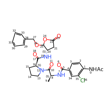 CC(=O)Nc1ccc(C(=O)N[C@@H](C)C(=O)N2CCC[C@H]2C(=O)N[C@H]2CC(=O)OC2OCc2ccccc2)cc1Cl